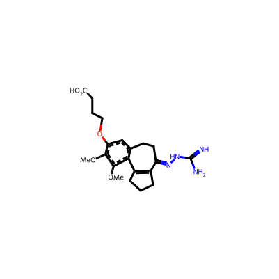 COc1c(OCCCC(=O)O)cc2c(c1OC)C1=C(CCC1)C(=NNC(=N)N)CC2